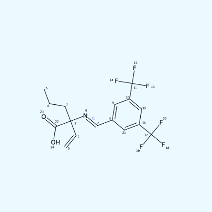 C=CC(CCC)(/N=C/c1cc(C(F)(F)F)cc(C(F)(F)F)c1)C(=O)O